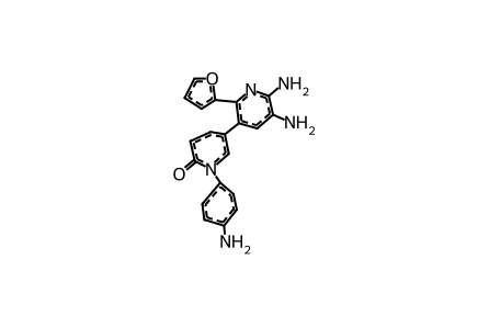 Nc1ccc(-n2cc(-c3cc(N)c(N)nc3-c3ccco3)ccc2=O)cc1